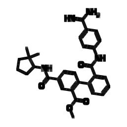 COC(=O)c1cc(C(=O)NC2CCCC2(C)C)ccc1-c1ccccc1C(=O)Nc1ccc(C(=N)N)cc1